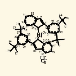 CC(C)(C)c1cc(C2=Cc3ccccc3[CH]2[Hf+2][CH]2C(c3cc(C(C)(C)C)cc(C(C)(C)C)c3)=Cc3ccccc32)cc(C(C)(C)C)c1.[Cl-].[Cl-]